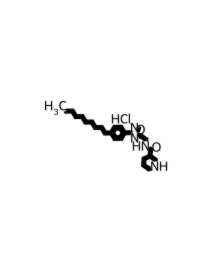 CCCCCCCCCCc1ccc(-c2noc(CNC(=O)C3CCCNC3)n2)cc1.Cl